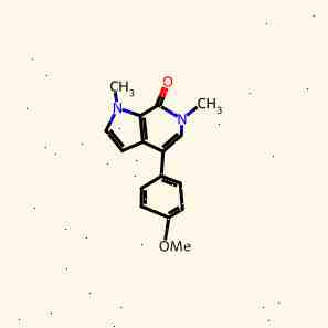 COc1ccc(-c2cn(C)c(=O)c3c2ccn3C)cc1